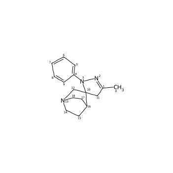 CC1=NN(c2ccccc2)C2(C1)CN1CCC2CC1